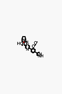 COCOc1cc(-c2cn[nH]c2)ccc1-c1cnc(N(C)C2CC3CCC(C2F)N3C(=O)O)cn1